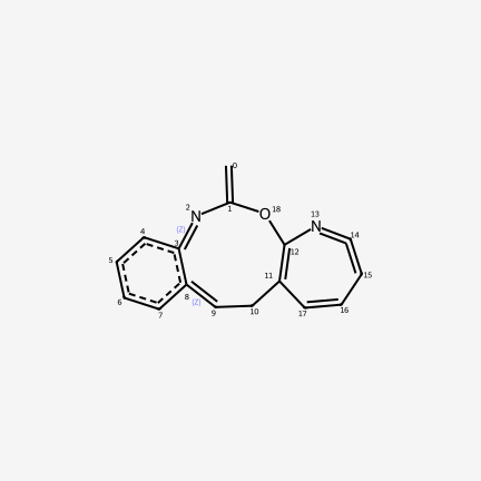 C=C1/N=c2/cccc/c2=C/CC2=C(N=C=CC=C2)O1